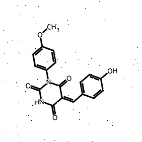 COc1ccc(N2C(=O)NC(=O)C(=Cc3ccc(O)cc3)C2=O)cc1